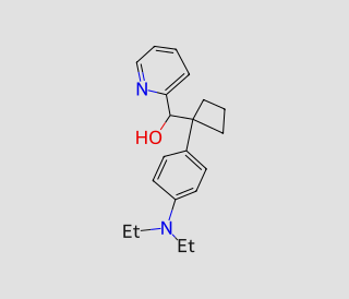 CCN(CC)c1ccc(C2(C(O)c3ccccn3)CCC2)cc1